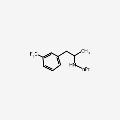 CCCNC(C)Cc1cccc(C(F)(F)F)c1